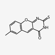 Cc1ccc2oc3nc(=S)[nH]c(=O)c-3cc2c1